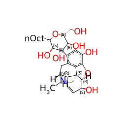 CCCCCCCC[C]1O[C@H](CO)[C@@H](O)[C@@](O)(c2cc(O)c3c4c2C[C@@H]2[C@@H]5C=C[C@H](O)[C@H](O3)[C@]45CCN2C)[C@H]1O